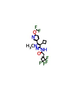 Cn1nc(NC(=O)C[C@@H]2CC(F)(F)C2(F)F)c(C2CCC2)c1-c1ccc(OC(F)F)nc1